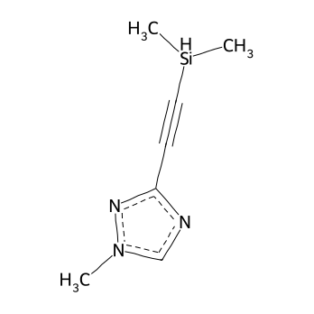 Cn1cnc(C#C[SiH](C)C)n1